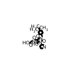 CC(C)(C)c1ccc(Cn2c(=O)c(C(=O)NCC(=O)O)c(O)n(-c3cccnc3)c2=O)cc1